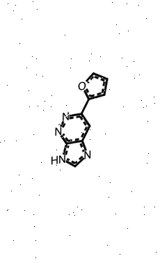 c1coc(-c2cc3nc[nH]c3nn2)c1